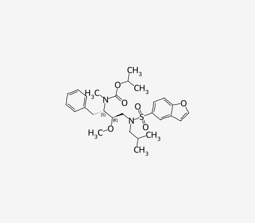 CO[C@H](CN(CC(C)C)S(=O)(=O)c1ccc2occc2c1)[C@H](Cc1ccccc1)N(C)C(=O)OC(C)C